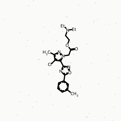 CCN(CC)CCOC(=O)Cn1nc(C)c(Cl)c1-c1noc(-c2cccc(C)c2)n1